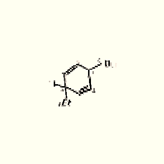 CCC(C)C1C=CC(I)(CC)C=C1